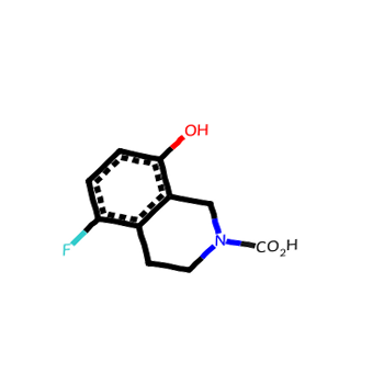 O=C(O)N1CCc2c(F)ccc(O)c2C1